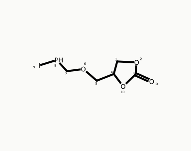 O=C1OCC(COCPI)O1